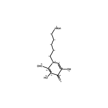 CCCCCCCCCCCCCCn1cc(O)c(=O)c(O)c1C=O